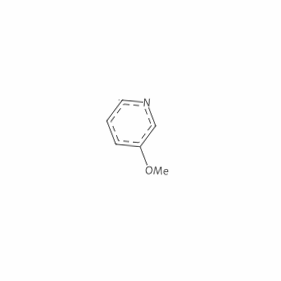 COc1cc[c]nc1